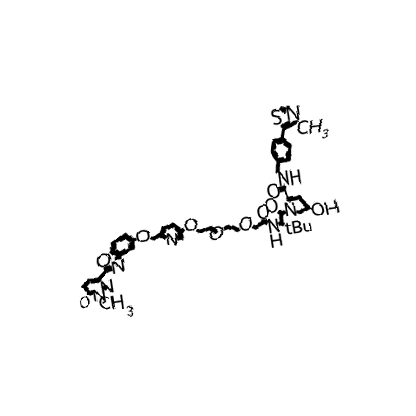 Cc1ncsc1-c1ccc(CNC(=O)[C@H]2C[C@H](O)CN2C(=O)C(NC(=O)COCCOCCOc2ccc(COc3ccc4oc(-c5ccc(=O)n(C)n5)nc4c3)nc2)C(C)(C)C)cc1